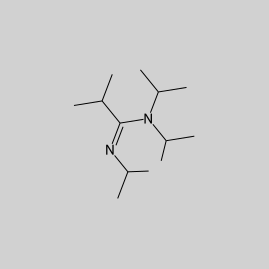 CC(C)/N=C(/C(C)C)N(C(C)C)C(C)C